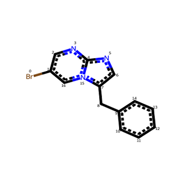 Brc1cnc2ncc(Cc3ccccc3)n2c1